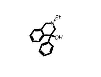 CCN1Cc2ccccc2C(O)(c2ccccc2)C1